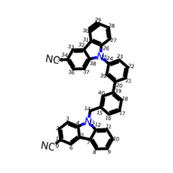 N#Cc1ccc2c(c1)c1ccccc1n2Cc1cccc(-c2cccc(-n3c4ccc#cc4c4cc(C#N)ccc43)c2)c1